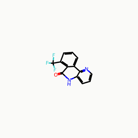 O=c1[nH]c2cccnc2c2cccc(C(F)(F)F)c12